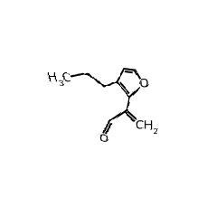 C=C(C=O)c1occc1CCC